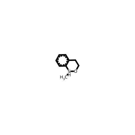 C[SiH]1OCCc2ccccc21